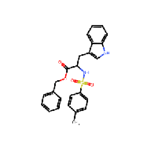 Cc1ccc(S(=O)(=O)NC(Cc2c[nH]c3ccccc23)C(=O)OCc2ccccc2)cc1